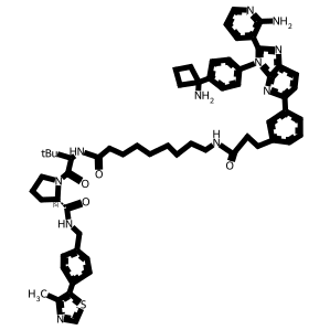 Cc1ncsc1-c1ccc(CNC(=O)[C@@H]2CCCN2C(=O)C(NC(=O)CCCCCCCCNC(=O)CCc2cccc(-c3ccc4nc(-c5cccnc5N)n(-c5ccc(C6(N)CCC6)cc5)c4n3)c2)C(C)(C)C)cc1